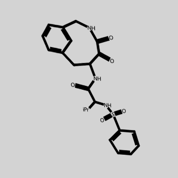 CC(C)C(NS(=O)(=O)c1ccccc1)C(=O)NC1Cc2cccc(c2)CNC(=O)C1=O